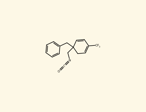 O=C=NCC1(Cc2ccccc2)C=CC(C(F)(F)F)=CC1